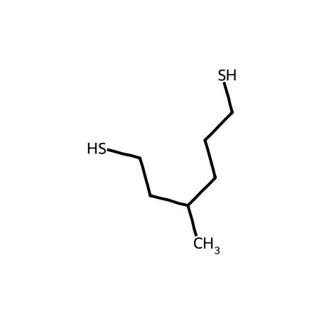 CC(CCS)CCCS